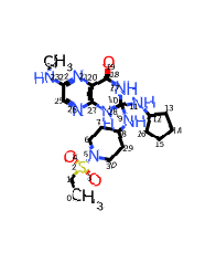 CCS(=O)(=O)N1CCC(NC2(NC3CCCC3)NC(=O)c3nc(NC)cnc3N2)CC1